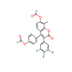 CC(=O)Oc1ccc(-c2c(-c3cc(F)c(F)c(F)c3)c(=O)oc3c(C)c(OC(C)=O)ccc23)cc1